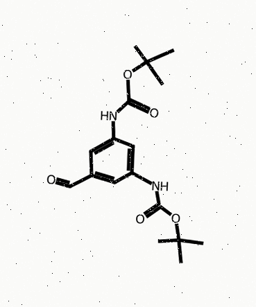 CC(C)(C)OC(=O)Nc1cc(C=O)cc(NC(=O)OC(C)(C)C)c1